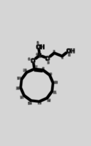 OCCOB(O)OC1=CCCCCCCCCCC1